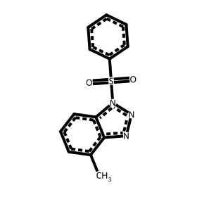 Cc1cccc2c1nnn2S(=O)(=O)c1ccccc1